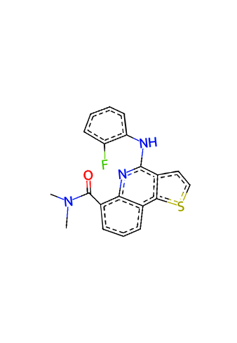 CN(C)C(=O)c1cccc2c1nc(Nc1ccccc1F)c1ccsc12